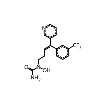 NC(=O)N(O)CCC=C(c1cccnc1)c1cccc(C(F)(F)F)c1